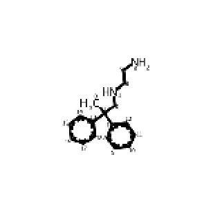 CC(CNCCN)(c1ccccc1)c1ccccc1